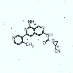 Cc1ccncc1-c1cc2cc(NC(=O)[C@@H]3C[C@H]3C#N)ncc2c(N)n1